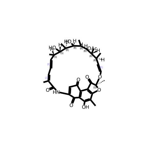 CC(=O)O[C@H]1[C@H](C)[C@H](O)[C@H](C)[C@@H](O)[C@@H](C)/C=C/C=C(/C)C(=O)NC2=CC(=O)c3c(c(O)c(C)c4c3C(=O)[C@@](C)(O/C=C/[C@H](C)[C@H]1C)O4)C2=O